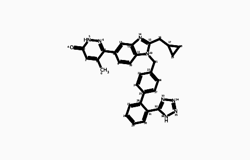 Cc1cc(=O)[nH]nc1-c1ccc2c(c1)nc(CC1CC1)n2Cc1ccc(-c2ccccc2-c2nnn[nH]2)cc1